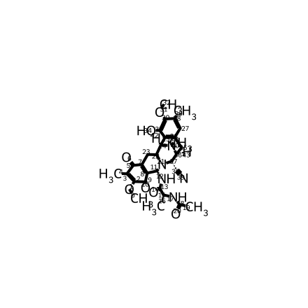 COC1=C(C)C(=O)C2=C(C1=O)[C@H](NC(=O)[C@H](C)NC(C)=O)N1C(C2)[C@H]2c3c(cc(C)c(OC)c3O)C[C@@H]([C@@H]1C#N)N2C